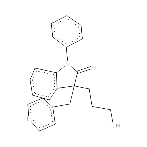 O=C1N(c2ccccc2)c2ccccc2C1(CCCO)Cc1ccncc1